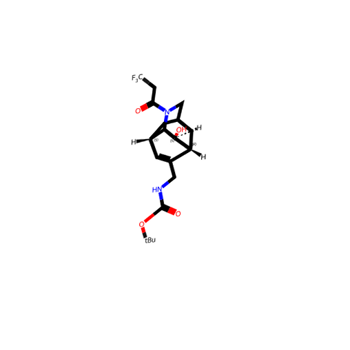 CC(C)(C)OC(=O)NCC1=C[C@@H]2CC3C[C@H]1[C@H](O)C2N(C(=O)CC(F)(F)F)C3